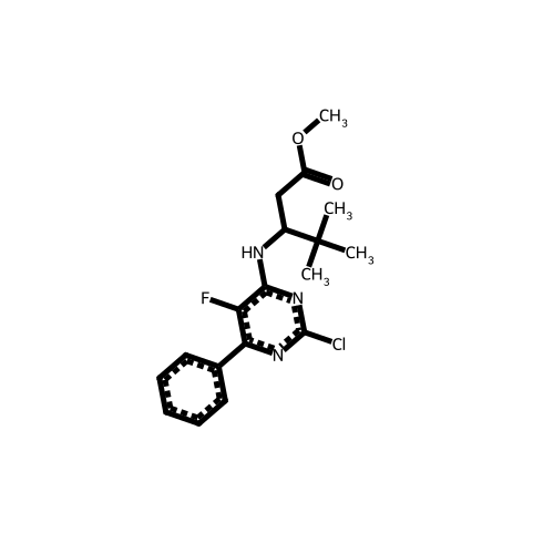 COC(=O)CC(Nc1nc(Cl)nc(-c2ccccc2)c1F)C(C)(C)C